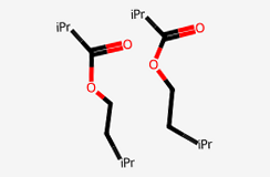 CC(C)CCOC(=O)C(C)C.CC(C)CCOC(=O)C(C)C